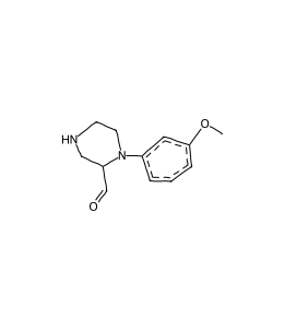 COc1cccc(N2CCNCC2C=O)c1